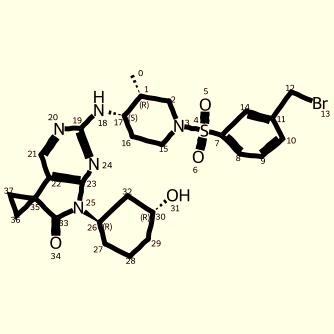 C[C@@H]1CN(S(=O)(=O)c2cccc(CBr)c2)CC[C@@H]1Nc1ncc2c(n1)N([C@@H]1CCC[C@@H](O)C1)C(=O)C21CC1